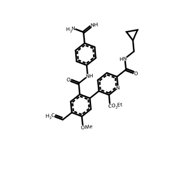 C=Cc1cc(C(=O)Nc2ccc(C(=N)N)cc2)c(-c2ccc(C(=O)NCC3CC3)nc2C(=O)OCC)cc1OC